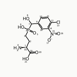 N[C@@H](CCP(=O)(O)C(O)c1ccc(Cl)c([N+](=O)[O-])c1)C(=O)O